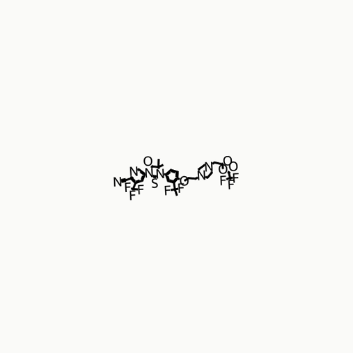 CC(F)(F)c1cc(N2C(=S)N(c3cnc(C#N)c(C(F)(F)F)c3)C(=O)C2(C)C)ccc1OCCN1CCN(CC(=O)OC(=O)C(F)(F)F)CC1